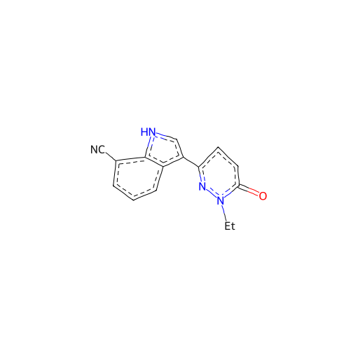 CCn1nc(-c2c[nH]c3c(C#N)cccc23)ccc1=O